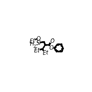 CCO[SiH2]CC(C(=O)Oc1ccccc1)C(CC)CC